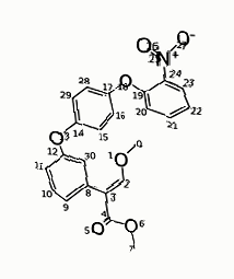 CO/C=C(/C(=O)OC)c1cccc(Oc2ccc(Oc3ccccc3[N+](=O)[O-])cc2)c1